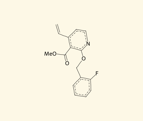 C=Cc1ccnc(OCc2ccccc2F)c1C(=O)OC